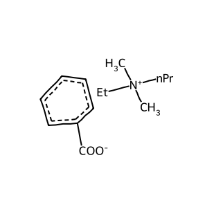 CCC[N+](C)(C)CC.O=C([O-])c1ccccc1